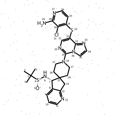 CC(C)(C)[S@@+]([O-])N[C@H]1c2cccnc2CC12CCN(c1ncc(Sc3ccnc(N)c3Cl)c3nccn13)CC2